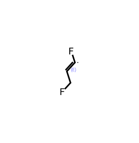 F/[C]=C/CF